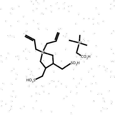 C=CC[N+]1(CC=C)CC(CS(=O)(=O)O)C(CS(=O)(=O)O)C1.C[N+](C)(C)CC(=O)O